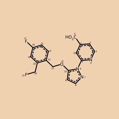 O=C(O)c1ccnc(-n2nccc2OCc2ccc(F)cc2CF)c1